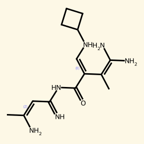 CC(=C(N)N)/C(=C\NC1CCC1)C(=O)NC(=N)/C=C(/C)N